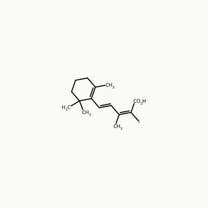 CC1=C(/C=C/C(C)=C(/I)C(=O)O)C(C)(C)CCC1